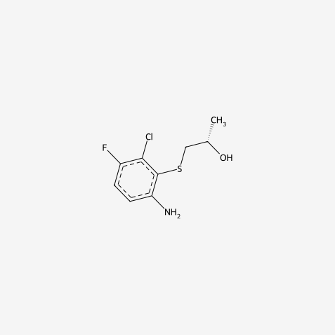 C[C@H](O)CSc1c(N)ccc(F)c1Cl